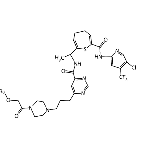 CC(NC(=O)c1cc(CCCN2CCN(C(=O)COC(C)(C)C)CC2)ncn1)C1=CCCC=C(C(=O)Nc2cc(C(F)(F)F)c(Cl)cn2)S1